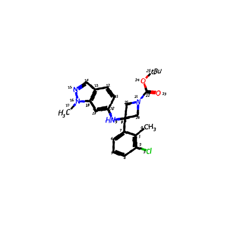 Cc1c(Cl)cccc1C1(Nc2ccc3cnn(C)c3c2)CN(C(=O)OC(C)(C)C)C1